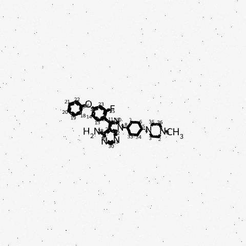 CN1CCN([C@H]2CC[C@H](n3nc(-c4ccc(Oc5ccccc5)cc4F)c4c(N)ncnc43)CC2)CC1